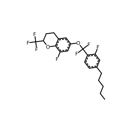 CCCCCc1ccc(C(F)(F)Oc2cc(F)c3c(c2)CCC(C(F)(F)F)O3)c(F)c1